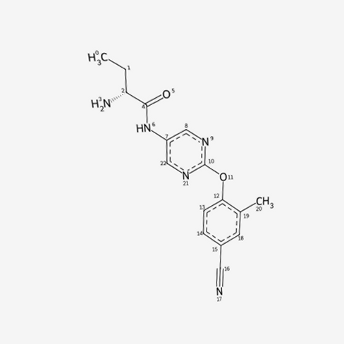 CC[C@@H](N)C(=O)Nc1cnc(Oc2ccc(C#N)cc2C)nc1